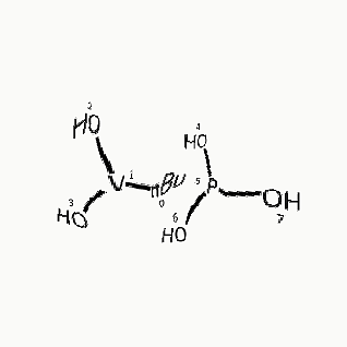 CCC[CH2][V]([OH])[OH].OP(O)O